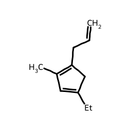 C=CCC1=C(C)C=C(CC)C1